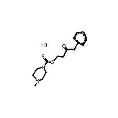 CN1CCN(C(=S)SCCC(=O)Cc2ccccc2)CC1.Cl